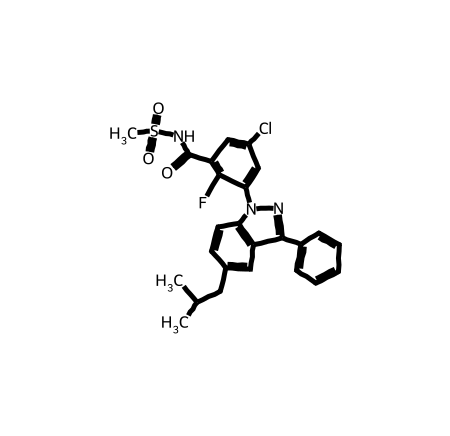 CC(C)Cc1ccc2c(c1)c(-c1ccccc1)nn2-c1cc(Cl)cc(C(=O)NS(C)(=O)=O)c1F